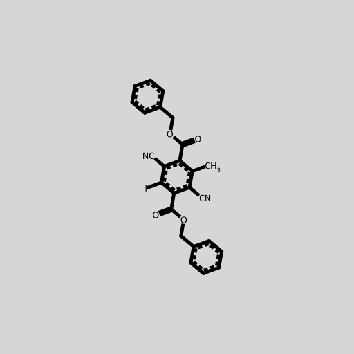 Cc1c(C#N)c(C(=O)OCc2ccccc2)c(I)c(C#N)c1C(=O)OCc1ccccc1